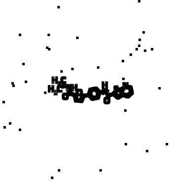 CC(C)NC(=O)c1ccc(-c2ccc(NC(=O)c3cc4cccnc4s3)cc2)o1